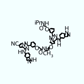 CC(C)NC(=O)COc1cccc(-c2nc(Nc3ccc4[nH]ncc4c3)c3cc(OCCC(C)NC(=O)COc4cccc(-c5nc(Nc6ccc7[nH]ncc7c6)c6cc(C#N)cn6n5)c4)cn3n2)c1